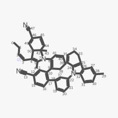 CC/C=C\C1=C(C)N(C2=C(c3cc(C#N)ccc3-c3cccc(-n4c5c(c6cc(C)ccc64)CCC=C5)c3)CCC=C2)C2(C)C=CC(C#N)=CC12